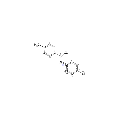 Cc1ccc([S+]([O-])/N=c2\ccc(Cl)n[nH]2)cc1